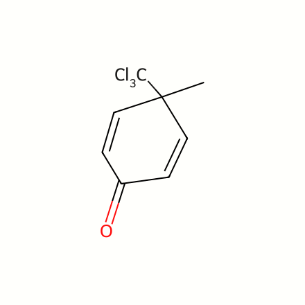 CC1(C(Cl)(Cl)Cl)C=CC(=O)C=C1